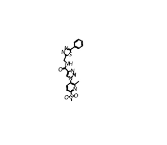 Cc1nc(S(C)(=O)=O)ccc1-n1cc(C(=O)NCc2nnc(-c3ccccc3)s2)nn1